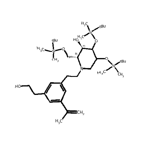 C=C(C)c1cc(CCO)cc(CCN2CC(O[Si](C)(C)C(C)(C)C)C(O[Si](C)(C)C(C)(C)C)[C@H](O)[C@H]2CO[Si](C)(C)C(C)(C)C)c1